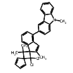 CC1=Cc2c(-c3ccc4c(c3)c3ccccc3n4C)cccc2C12C(C)(C)C1(C=CC=C1)C2(Cl)Cl